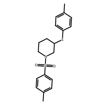 Cc1ccc(SC2CCCN(S(=O)(=O)c3ccc(C)cc3)C2)cc1